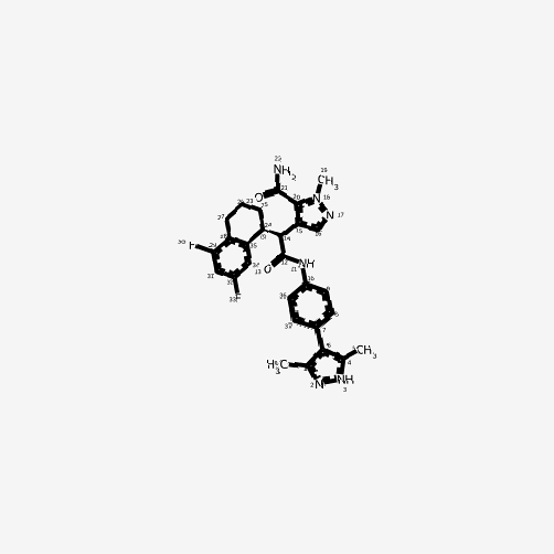 Cc1n[nH]c(C)c1-c1ccc(NC(=O)C(c2cnn(C)c2C(N)=O)[C@@H]2CCCc3c(F)cc(F)cc32)cc1